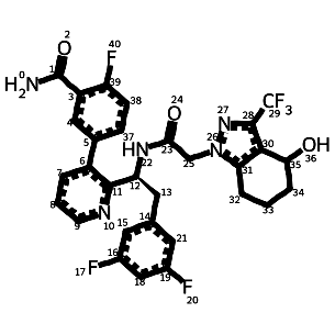 NC(=O)c1cc(-c2cccnc2[C@H](Cc2cc(F)cc(F)c2)NC(=O)Cn2nc(C(F)(F)F)c3c2CCCC3O)ccc1F